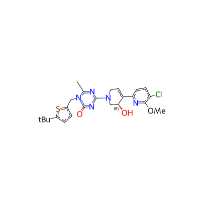 COc1nc(C2=CCN(c3nc(C)n(Cc4ccc(C(C)(C)C)s4)c(=O)n3)C[C@@H]2O)ccc1Cl